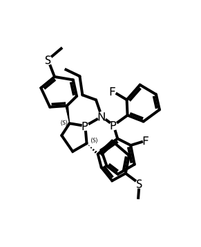 CCCCN(P(c1ccccc1F)c1ccccc1F)P1[C@H](c2ccc(SC)cc2)CC[C@H]1c1ccc(SC)cc1